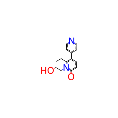 CCc1c(-c2ccncc2)ccc(=O)n1CCO